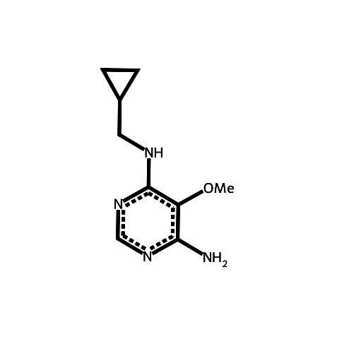 COc1c(N)ncnc1NCC1CC1